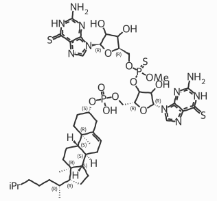 COP(=S)(OC[C@H]1O[C@@H](n2cnc3c(=S)[nH]c(N)nc32)C(O)C1O)OC1C(O)[C@H](n2cnc3c(=S)[nH]c(N)nc32)O[C@@H]1COP(=O)(O)O[C@H]1CC[C@@]2(C)C(=CC[C@H]3[C@@H]4CC[C@H]([C@H](C)CCCC(C)C)[C@@]4(C)CC[C@@H]32)C1